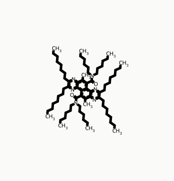 CCCCCCCCc1nc2c(C)c(C(=O)N(CCCCCC)CCCCCC)c3c4nc(CCCCCCCC)c(CCCCCCCC)nc4c(C)c(C(=O)N(CCCCCC)CCCCCC)c3c2nc1CCCCCCCC